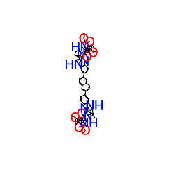 COC(=O)N[C@H](C(=O)N1CCC[C@H]1c1nc2ccc(-c3ccc4cc(-c5ccc6nc([C@@H]7CCCN7C(=O)[C@@H](NC(=O)OC)[C@@H](C)OC)[nH]c6c5)ccc4c3)cc2[nH]1)[C@@H](C)OC